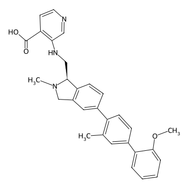 COc1ccccc1-c1ccc(-c2ccc3c(c2)CN(C)[C@H]3CNc2cnccc2C(=O)O)c(C)c1